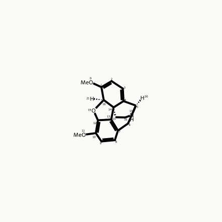 COC1=CC=C2[C@H]3Cc4ccc(OC)c5c4[C@@]2(CCN3)[C@H]1O5